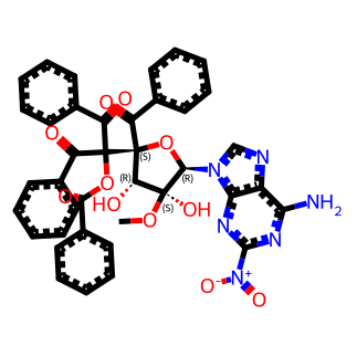 CO[C@]1(O)[C@H](n2cnc3c(N)nc([N+](=O)[O-])nc32)O[C@](C(=O)c2ccccc2)(C(OC(=O)c2ccccc2)(C(=O)c2ccccc2)C(=O)c2ccccc2)[C@H]1O